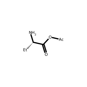 CC[C@H](N)C(=O)OC(C)=O